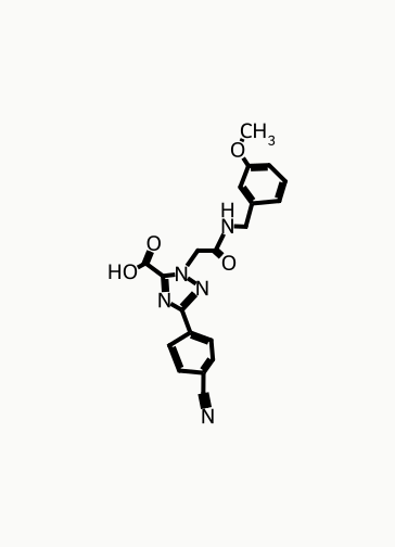 COc1cccc(CNC(=O)Cn2nc(-c3ccc(C#N)cc3)nc2C(=O)O)c1